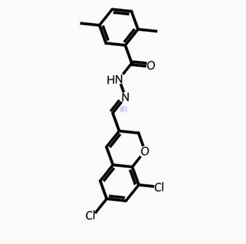 Cc1ccc(C)c(C(=O)N/N=C/C2=Cc3cc(Cl)cc(Cl)c3OC2)c1